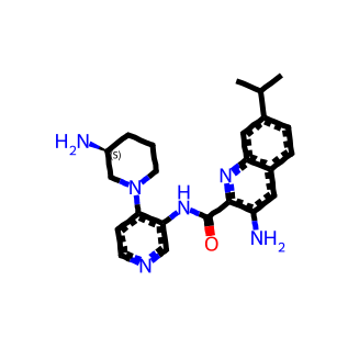 CC(C)c1ccc2cc(N)c(C(=O)Nc3cnccc3N3CCC[C@H](N)C3)nc2c1